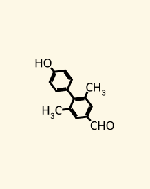 Cc1cc(C=O)cc(C)c1-c1ccc(O)cc1